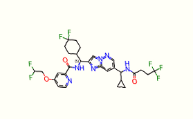 O=C(CCC(F)(F)F)NC(c1cnn2cc([C@@H](NC(=O)c3cc(OCC(F)F)ccn3)C3CCC(F)(F)CC3)nc2c1)C1CC1